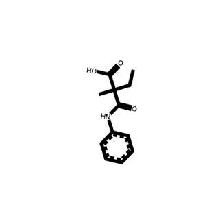 CCC(C)(C(=O)O)C(=O)Nc1ccccc1